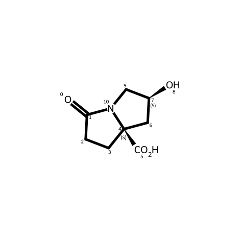 O=C1CC[C@@]2(C(=O)O)C[C@H](O)CN12